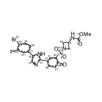 COC(=O)NC1CN(S(=O)(=O)c2cc(-c3ncc(-c4ccc(Br)c(F)c4)[nH]3)ccc2Cl)C1